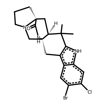 CC1(C)c2[nH]c3cc(Cl)c(Br)cc3c2C[C@@]23CN4CCC[C@]4(C[C@@H]12)C(=O)N3